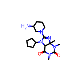 CN1C(=O)C2N(C3CCCC3)C(N3CCCC(N)C3)=NC2(C)N(C)C1=O